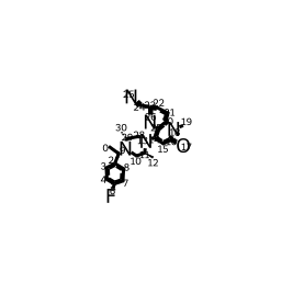 CC(c1ccc(F)cc1)N1C[C@H](C)N(c2cc(=O)n(C)c3ccc(C#N)nc23)C[C@H]1C